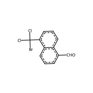 O=Cc1cccc2c(C(Cl)(Cl)Br)cccc12